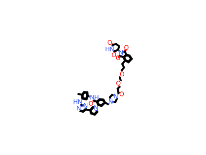 Cc1ccc(NC(=O)c2ccc(CN3CCN(C(=O)CCOCCOCCCc4cccc5c4C(=O)N(C4CCC(=O)NC4=O)C5=O)CC3)cc2)cc1Nc1nccc(-c2cccnc2)n1